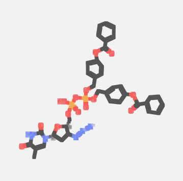 Cc1cn([C@H]2CC(N=[N+]=[N-])[C@@H](COP(=O)(O)OP(=O)(OCc3ccc(OC(=O)c4ccccc4)cc3)OCc3ccc(OC(=O)c4ccccc4)cc3)O2)c(=O)[nH]c1=O